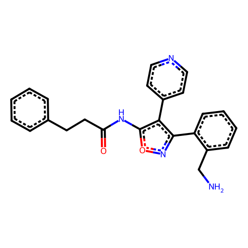 NCc1ccccc1-c1noc(NC(=O)CCc2ccccc2)c1-c1ccncc1